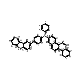 c1ccc(N(c2ccc(-c3cc4c(cn3)oc3ccccc34)cc2)c2ccc3c(ccc4c5ccccc5ccc34)c2)cc1